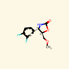 COC[C@@H]1OC(=O)N[C@H]1c1ccc(F)c(F)c1